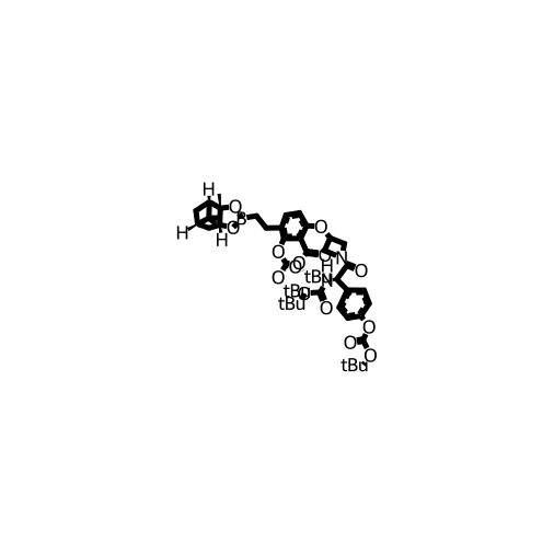 CC(C)(C)OC(=O)N[C@@H](C(=O)N1CC(Oc2ccc(CCB3O[C@@H]4C[C@@H]5C[C@@H](C5(C)C)[C@]4(C)O3)c(OC(=O)OC(C)(C)C)c2C(=O)OC(C)(C)C)C1)c1ccc(OC(=O)OC(C)(C)C)cc1